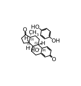 C[C@]12CC[C@H]3[C@@H](CCC4=CC(=O)C=C[C@@]43O)[C@@H]1CCC2=O.Oc1ccc(O)cc1